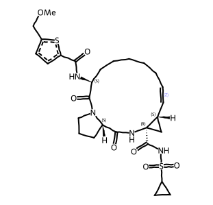 COCc1ccc(C(=O)N[C@H]2CCCCC/C=C\[C@@H]3C[C@@]3(C(=O)NS(=O)(=O)C3CC3)NC(=O)[C@@H]3CCCN3C2=O)s1